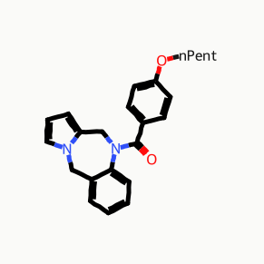 CCCCCOc1ccc(C(=O)N2Cc3cccn3Cc3ccccc32)cc1